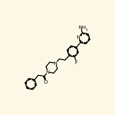 Nc1cccc(-c2ccc(CCN3CCN(C(=O)Cc4ccccc4)CC3)c(F)c2)n1